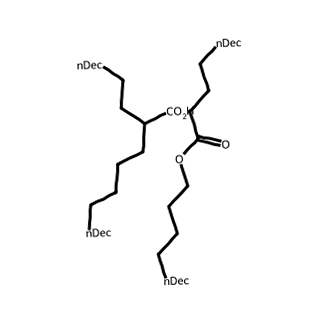 CCCCCCCCCCCCCCC(CCCCCCCCCCCC)C(=O)O.CCCCCCCCCCCCCCOC(=O)CCCCCCCCCCCCC